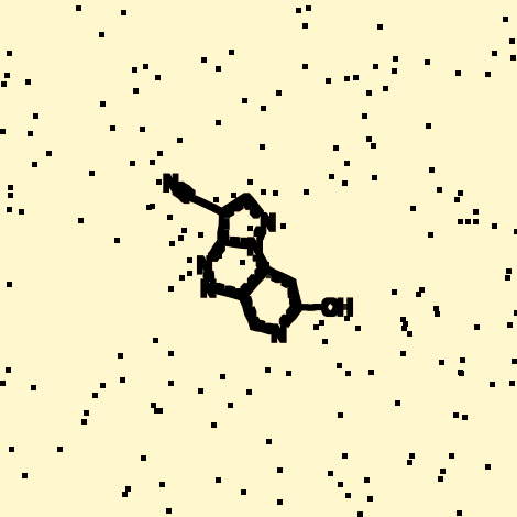 N#Cc1cnn2c1nnc1cnc(O)cc12